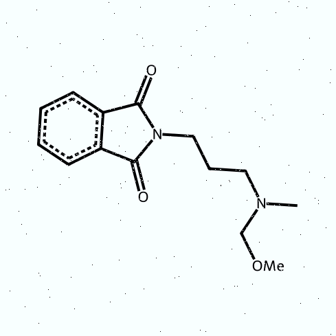 COCN(C)CCCN1C(=O)c2ccccc2C1=O